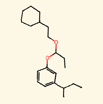 CCC(OCCC1CCCCC1)Oc1cccc(C(C)CC)c1